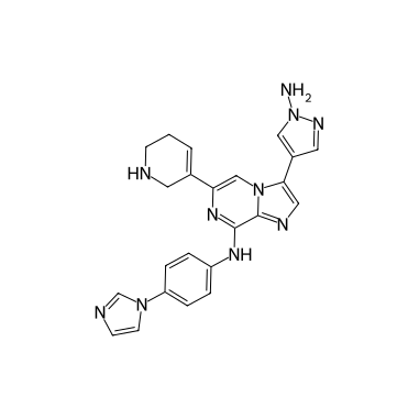 Nn1cc(-c2cnc3c(Nc4ccc(-n5ccnc5)cc4)nc(C4=CCCNC4)cn23)cn1